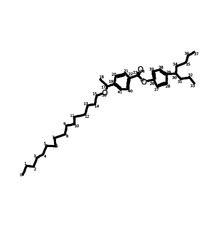 CCCCCCCCCCCCCCCCOC(C)c1ccc(C(=O)Oc2ccc(C(CCC)CCCC)cc2)cc1